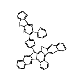 c1ccc(-c2nc3c(nc2-c2ccc(-n4c5cc6ccccc6cc5c5c6ccccc6c6c7cc8ccccc8cc7oc6c54)cc2)sc2ccccc23)cc1